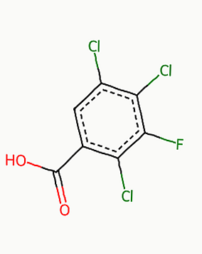 O=C(O)c1cc(Cl)c(Cl)c(F)c1Cl